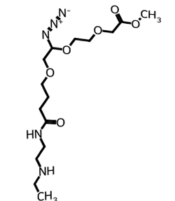 CCNCCNC(=O)CCCOCC(N=[N+]=[N-])OCCOCC(=O)OC